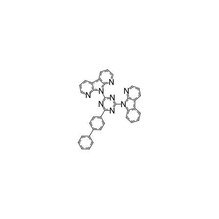 c1ccc(-c2ccc(-c3nc(-n4c5ccccc5c5cccnc54)nc(-n4c5ncccc5c5cccnc54)n3)cc2)cc1